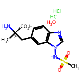 C[C@](N)(Cc1ccc2ncn(NS(C)(=O)=O)c2c1)C(=O)O.Cl.Cl.O